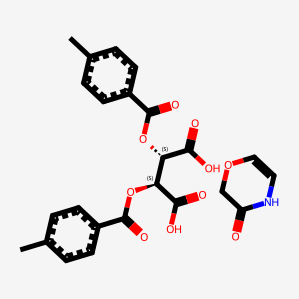 Cc1ccc(C(=O)O[C@H](C(=O)O)[C@H](OC(=O)c2ccc(C)cc2)C(=O)O)cc1.O=C1COC=CN1